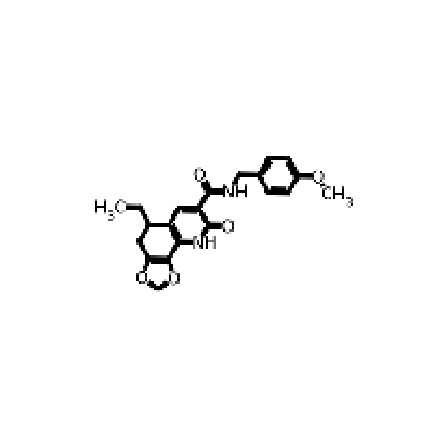 CCC1CC2=C(OCO2)c2[nH]c(=O)c(C(=O)NCc3ccc(OC)cc3)cc21